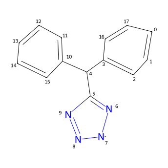 c1ccc(C(C2=N[N]N=N2)c2ccccc2)cc1